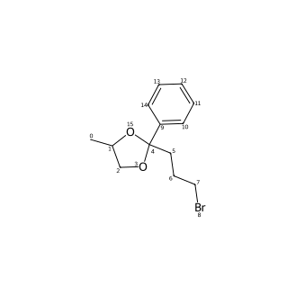 CC1COC(CCCBr)(c2ccccc2)O1